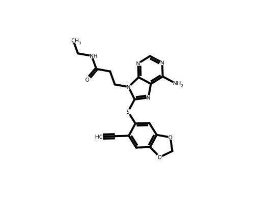 C#Cc1cc2c(cc1Sc1nc3c(N)ncnc3n1CCC(=O)NCC)OCO2